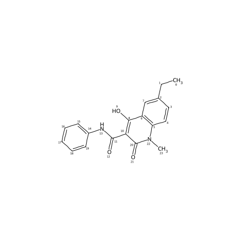 CCc1ccc2c(c1)c(O)c(C(=O)Nc1ccccc1)c(=O)n2C